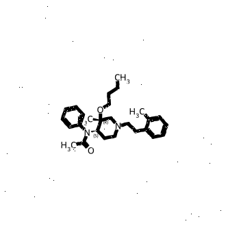 CCCCO[C@]1(C)CN(CCc2ccccc2C)CC[C@@H]1N(C(C)=O)c1ccccc1